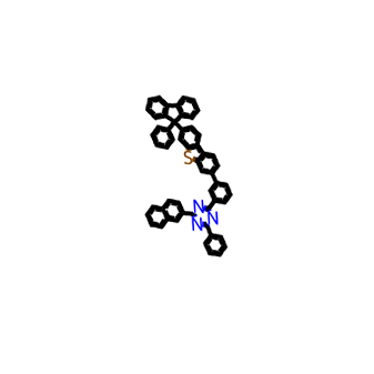 c1ccc(-c2nc(-c3cccc(-c4ccc5c(c4)sc4cc(C6(c7ccccc7)c7ccccc7-c7ccccc76)ccc45)c3)nc(-c3ccc4ccccc4c3)n2)cc1